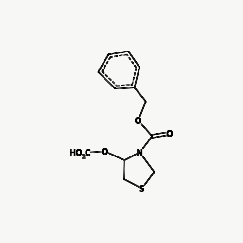 O=C(O)OC1CSCN1C(=O)OCc1ccccc1